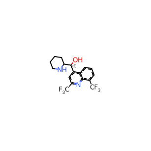 O[C@@H](c1cc(C(F)(F)F)nc2c(C(F)(F)F)cccc12)C1CCCCN1